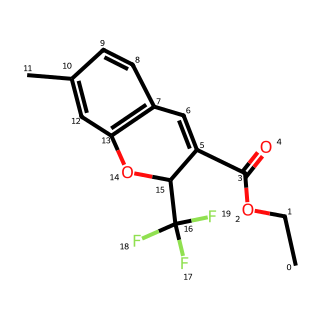 CCOC(=O)C1=Cc2ccc(C)cc2OC1C(F)(F)F